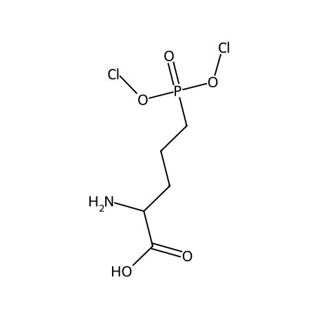 NC(CCCP(=O)(OCl)OCl)C(=O)O